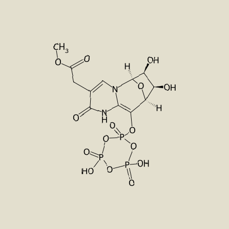 COC(=O)CC1=CN2C(=C(OP3(=O)OP(=O)(O)OP(=O)(O)O3)[C@H]3O[C@@H]2[C@@H](O)[C@H]3O)NC1=O